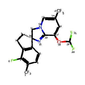 Fc1c(C(F)(F)F)ccc2c1CC[C@@]21CN2C=C(C(F)(F)F)C=C(OC(F)F)C2=N1